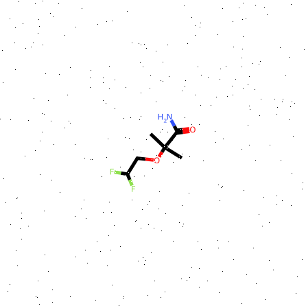 CC(C)(OCC(F)F)C(N)=O